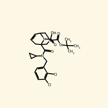 CC(C)(C)OC(=O)N1CC2C=CCC(C(=O)N(Cc3cccc(Cl)c3Cl)C3CC3)(C1)N2C(=O)O